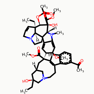 CC[C@]1(O)C[C@H]2CN(CCC3=C(Bc4ccc(C(C)=O)cc43)[C@@](C(=O)OC)(C3C=C4C(=CC3OC)N(C)[C@H]3[C@@](O)(C(=O)OC)[C@H](OC(C)=O)[C@]5(CC)C=CCN6CC[C@]43[C@@H]65)C2)C1